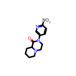 O=C1C2CCCCN2CCN1c1ccc([N+](=O)[O-])nc1